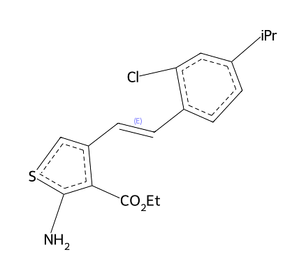 CCOC(=O)c1c(/C=C/c2ccc(C(C)C)cc2Cl)csc1N